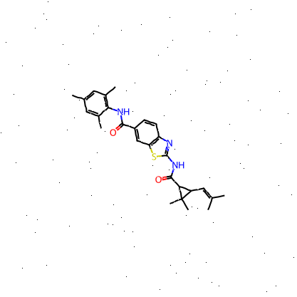 CC(C)=CC1C(C(=O)Nc2nc3ccc(C(=O)Nc4c(C)cc(C)cc4C)cc3s2)C1(C)C